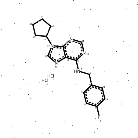 Cl.Cl.Fc1ccc(CNc2ncnc3c2ncn3C2CCCC2)cc1